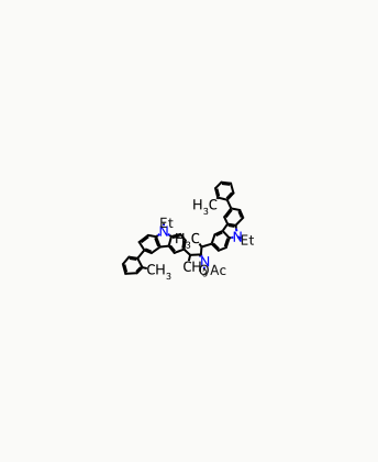 CCn1c2ccc(-c3ccccc3C)cc2c2cc(C(C)C(=NOC(C)=O)C(C)c3ccc4c(c3)c3cc(-c5ccccc5C)ccc3n4CC)ccc21